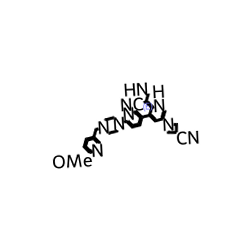 COc1ccc(CN2CCN(c3ccc(C4=CC(N5CC(C#N)C5)=CN/C4=C(/C#N)C=N)cn3)CC2)cn1